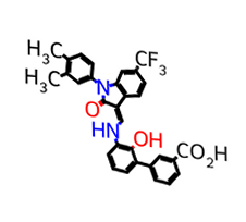 Cc1ccc(N2C(=O)/C(=C\Nc3cccc(-c4cccc(C(=O)O)c4)c3O)c3ccc(C(F)(F)F)cc32)cc1C